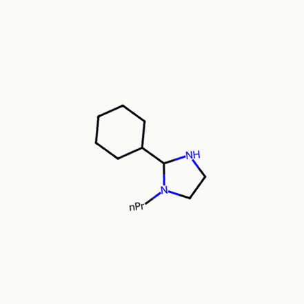 CCCN1CCNC1C1CCCCC1